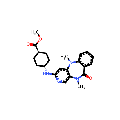 COC(=O)[C@H]1CC[C@H](Nc2cc3c(cn2)N(C)C(=O)c2ccccc2N3C)CC1